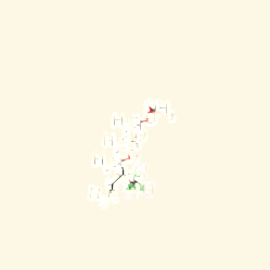 CCC([SiH2]O[SiH2]O[SiH2]O[SiH3])[Si](Cl)(Cl)Cl